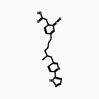 CC(CCCCC1=CC(=C=O)N(CC(=O)O)C=C1)Cc1ccc(-c2ccn[nH]2)nc1